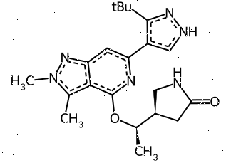 Cc1c2c(O[C@H](C)[C@H]3CNC(=O)C3)nc(-c3c[nH]nc3C(C)(C)C)cc2nn1C